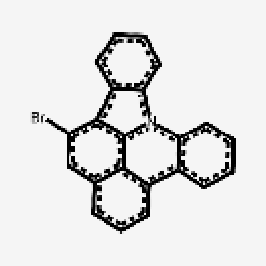 Brc1cc2cccc3c4ccccc4n4c5ccccc5c1c4c23